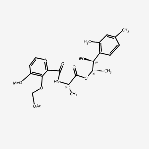 COc1ccnc(C(=O)N[C@@H](C)C(=O)O[C@@H](C)[C@H](c2ccc(C)cc2C)C(C)C)c1OCOC(C)=O